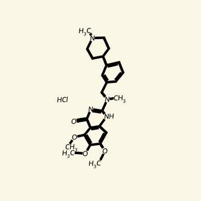 COc1cc2[nH]c(N(C)Cc3cccc(C4CCN(C)CC4)c3)nc(=O)c2c(OC)c1OC.Cl